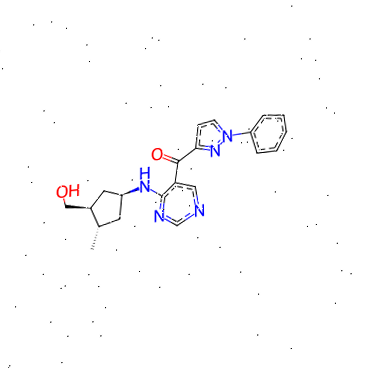 C[C@H]1C[C@H](Nc2ncncc2C(=O)c2ccn(-c3ccccc3)n2)C[C@@H]1CO